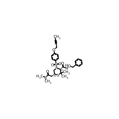 CC#CCOc1ccc(S(=O)(=O)N2C[C@H](CC(=O)N(C)C)SC(C)(C)[C@@H]2C(=O)NOCc2ccccc2)cc1